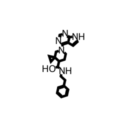 OC(NCCc1ccccc1)C1CCN(c2ncnc3[nH]ccc23)CC12CC2